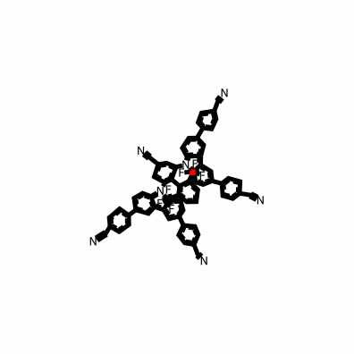 N#Cc1ccc(-c2ccc3c(c2)c2cc(-c4ccc(C#N)cc4)ccc2n3-c2cc(C#N)cc(-n3c4ccc(-c5ccc(C#N)cc5)cc4c4cc(-c5ccc(C#N)cc5)ccc43)c2-c2c(C(F)(F)F)cccc2C(F)(F)F)cc1